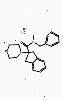 CN(Cc1ccccc1)C(=O)C1(N2CCNCC2)Cc2ccccc2C1.Cl.Cl